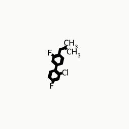 CC(C)Cc1ccc(-c2ccc(F)cc2Cl)cc1F